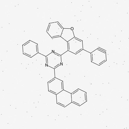 c1cccc(-c2cc(-c3nc(-c4ccccc4)nc(-c4ccc5ccc6ccccc6c5c4)n3)c3c(c2)oc2ccccc23)c#1